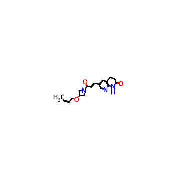 C/C=C\COC1CN(C(=O)/C=C/c2cnc3c(c2)CCC(=O)N3)C1